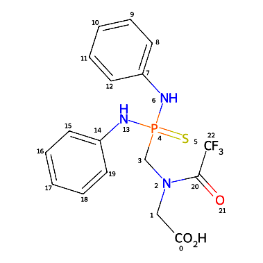 O=C(O)CN(CP(=S)(Nc1ccccc1)Nc1ccccc1)C(=O)C(F)(F)F